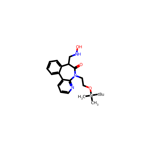 CC(C)(C)[Si](C)(C)OCCN1C(=O)C(CNO)c2ccccc2-c2cccnc21